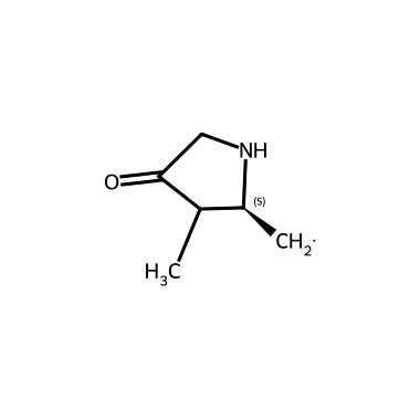 [CH2][C@@H]1NCC(=O)C1C